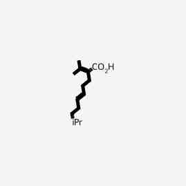 CC(C)=C(CCC=CCCC(C)C)C(=O)O